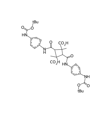 CC(C)(C)OC(=O)Nc1ccc(NC(=O)C2C(C)(C(=O)O)C(C(=O)Nc3ccc(NC(=O)OC(C)(C)C)cc3)C2(C)C(=O)O)cc1